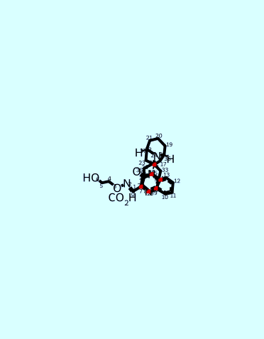 O=C(O)/C(=N\OCCO)c1nc2ccccc2n([C@H]2C[C@H]3CCC[C@@H](C2)N3C2CC3CCCC(C3)C2)c1=O